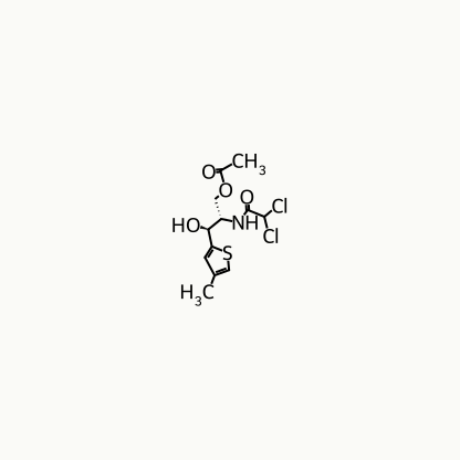 CC(=O)OC[C@H](NC(=O)C(Cl)Cl)[C@H](O)c1cc(C)cs1